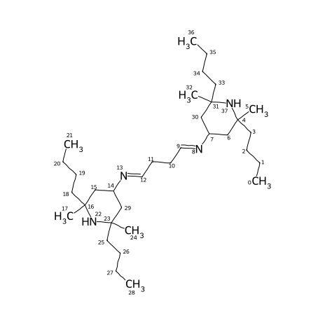 CCCCC1(C)CC(N=CCCC=NC2CC(C)(CCCC)NC(C)(CCCC)C2)CC(C)(CCCC)N1